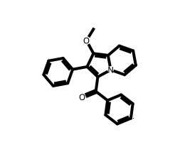 COc1c(-c2ccccc2)c(C(=O)c2cc[c]cc2)n2ccccc12